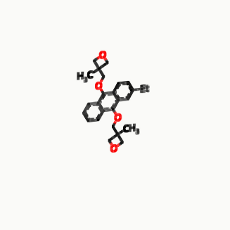 CCc1ccc2c(OCC3(C)COC3)c3ccccc3c(OCC3(C)COC3)c2c1